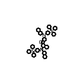 c1ccc([Si](c2ccccc2)(c2ccccc2)c2ccc(N(c3ccc4ccccc4c3)c3ccc4c(c3)oc3cc(N(c5ccc([Si](c6ccccc6)(c6ccccc6)c6ccccc6)cc5)c5ccc6ccccc6c5)c5ccccc5c34)cc2)cc1